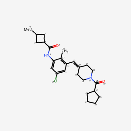 COC1CC(C(=O)Nc2cc(Cl)cc(C=C3CCN(C(=O)C4CCCC4)CC3)c2C)C1